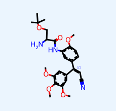 COc1ccc(/C(=C/C#N)c2cc(OC)c(OC)c(OC)c2)cc1NC(=O)C(N)COC(C)(C)C